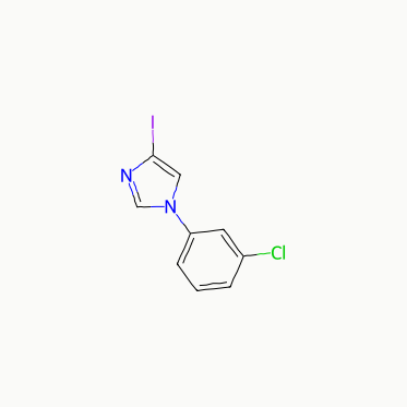 Clc1cccc(-n2cnc(I)c2)c1